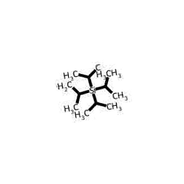 [CH2]C(C)[Si](C(C)C)(C(C)C)C(C)C